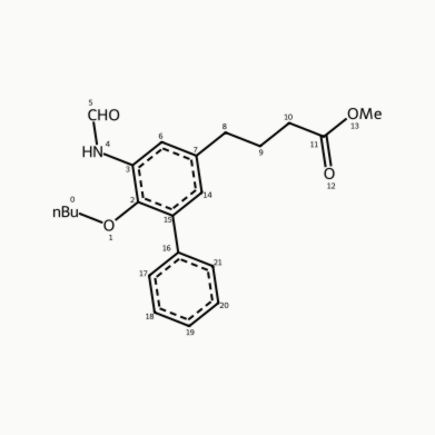 CCCCOc1c(NC=O)cc(CCCC(=O)OC)cc1-c1ccccc1